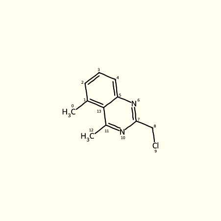 Cc1cccc2nc(CCl)nc(C)c12